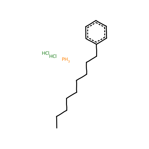 CCCCCCCCCc1ccccc1.Cl.Cl.P